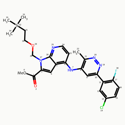 COC(=O)c1cc2c(Nc3cc(-c4cc(Cl)ccc4F)nnc3C)ccnc2n1COCC[Si](C)(C)C